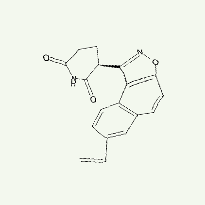 C=Cc1ccc2c(ccc3onc([C@@H]4CCC(=O)NC4=O)c32)c1